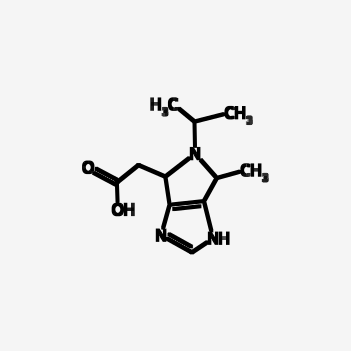 CC(C)N1C(C)c2[nH]cnc2C1CC(=O)O